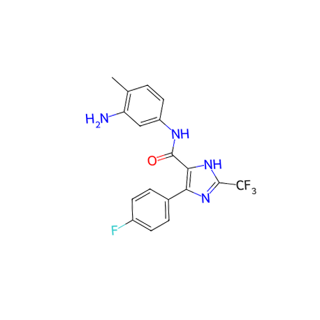 Cc1ccc(NC(=O)c2[nH]c(C(F)(F)F)nc2-c2ccc(F)cc2)cc1N